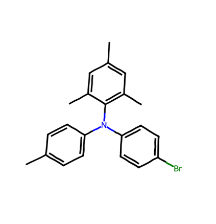 Cc1ccc(N(c2ccc(Br)cc2)c2c(C)cc(C)cc2C)cc1